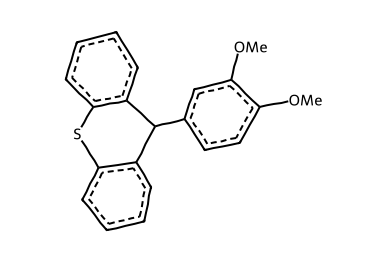 COc1ccc(C2c3ccccc3Sc3ccccc32)cc1OC